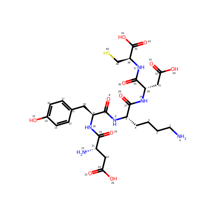 NCCCC[C@H](NC(=O)[C@H](Cc1ccc(O)cc1)NC(=O)[C@@H](N)CC(=O)O)C(=O)N[C@@H](CC(=O)O)C(=O)N[C@@H](CS)C(=O)O